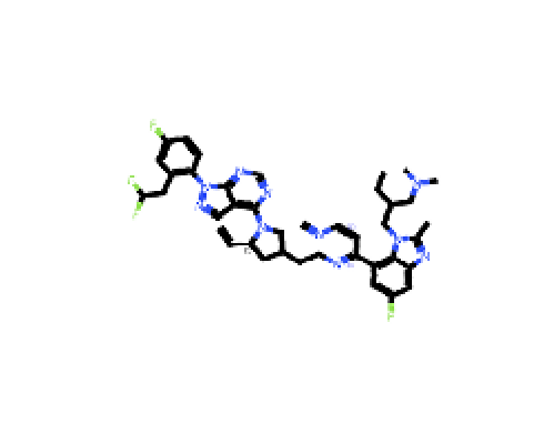 C=C[C@@H]1CC(CC/N=C(\C=C/N=C)c2cc(F)cc3nc(C)n(CC(CC)CN(C)C)c23)CN1c1ncnc2c1cnn2-c1ccc(F)cc1CC(F)F